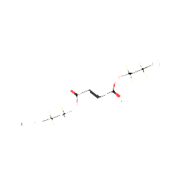 CC(F)(F)C(F)(F)OC(=O)/C=C/C(=O)OC(F)(F)C(C)(F)F